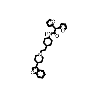 O=C(NC1CCC(CCN2CCC(c3coc4ccccc34)CC2)CC1)C(c1ccco1)c1ccco1